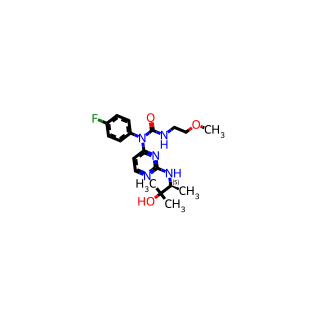 COCCNC(=O)N(c1ccc(F)cc1)c1ccnc(N[C@@H](C)C(C)(C)O)n1